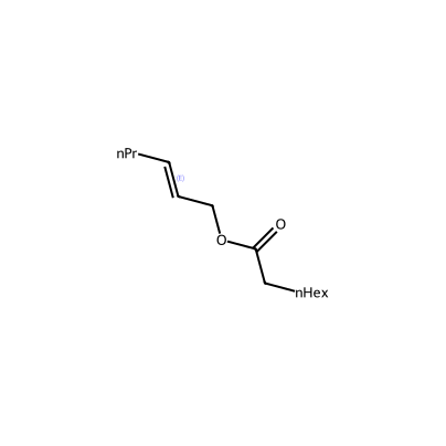 CCC/C=C/COC(=O)CCCCCCC